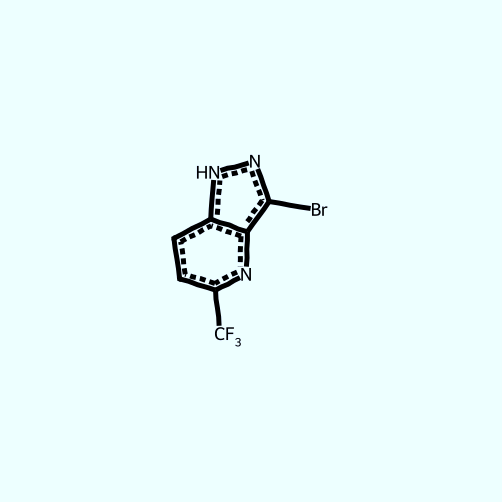 FC(F)(F)c1ccc2[nH]nc(Br)c2n1